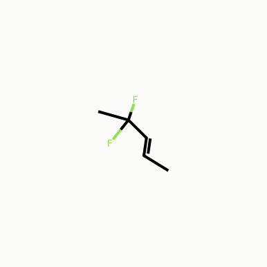 C/C=C/C(C)(F)F